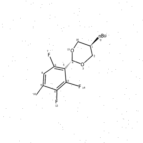 CCCC[C@H]1CO[C@H](c2c(F)cc(C)c(F)c2F)OC1